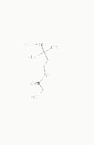 CNC(C)(C)CCNC(=O)CO